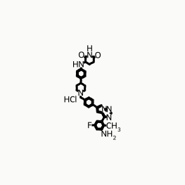 Cc1c(N)cc(F)cc1-c1ncnn2cc(-c3ccc(CN4CCC(c5ccc(NC6CCC(=O)NC6=O)cc5)CC4)cc3)cc12.Cl